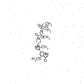 COc1cc(-c2cnn(C3CCN(C(=O)C4(OC)CN(C(=O)OC(C)(C)C)C4)CC3)c2C)cn2ncc(Cl)c12